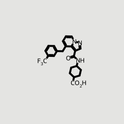 O=C(NC1CCC(C(=O)O)CC1)c1cnn2cccc(Cc3cccc(C(F)(F)F)c3)c12